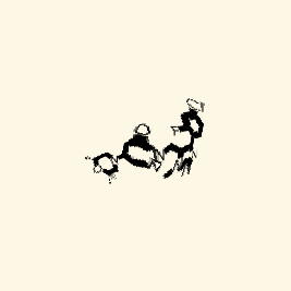 C[C@@H]1CN(c2cnn(Cc3c(-c4ccc(Cl)cc4F)nnn3C)c(=O)c2)C[C@H](C)O1